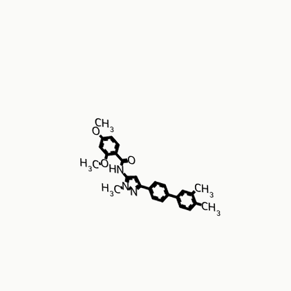 COc1ccc(C(=O)Nc2cc(-c3ccc(-c4ccc(C)c(C)c4)cc3)nn2C)c(OC)c1